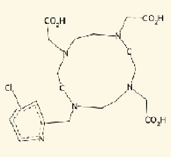 O=C(O)CN1CCN(CC(=O)O)CCN(Cc2cc(Cl)ccn2)CCN(CC(=O)O)CC1